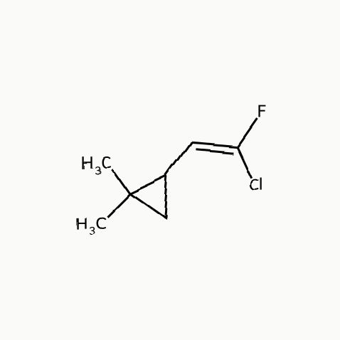 CC1(C)CC1C=C(F)Cl